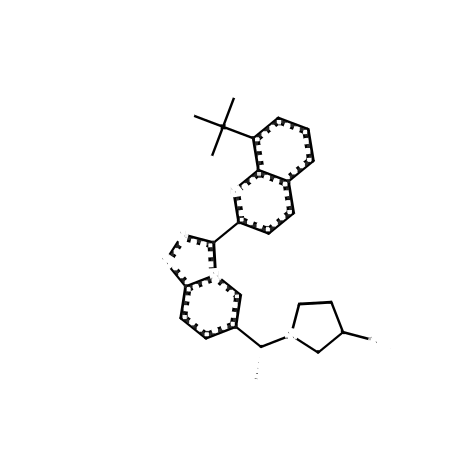 C[C@H](c1ccc2nnc(-c3ccc4cccc(C(C)(C)C)c4n3)n2c1)N1CCC(N)C1.Cl.Cl.Cl